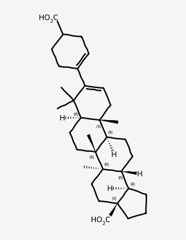 CC1(C)C(C2=CCC(C(=O)O)CC2)=CC[C@]2(C)[C@H]3CC[C@@H]4[C@H]5CCC[C@]5(C(=O)O)CC[C@@]4(C)[C@]3(C)CC[C@@H]12